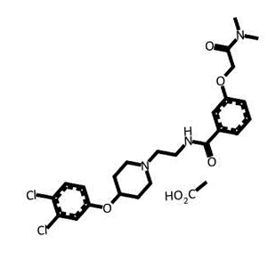 CC(=O)O.CN(C)C(=O)COc1cccc(C(=O)NCCN2CCC(Oc3ccc(Cl)c(Cl)c3)CC2)c1